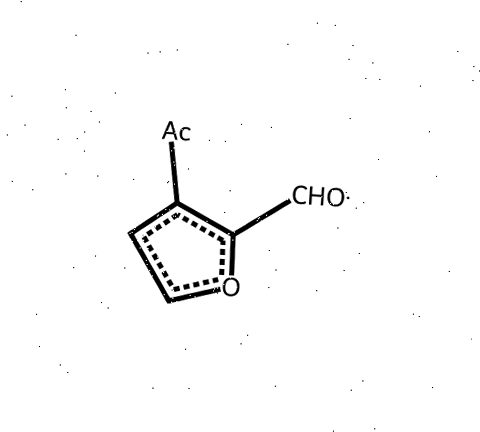 CC(=O)c1ccoc1[C]=O